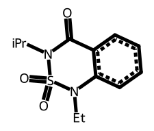 CCN1c2ccccc2C(=O)N(C(C)C)S1(=O)=O